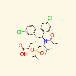 CCC(=O)N([C@H](CS(=O)(=O)C(C)C)C(C)C)[C@H](c1ccc(Cl)cc1)[C@H](CCCC(=O)O)c1cccc(Cl)c1